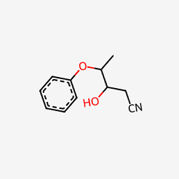 CC(Oc1ccccc1)C(O)CC#N